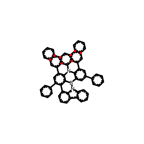 c1ccc(-c2cc(-c3ccccc3)cc(N3c4c(cc(-c5ccccc5)cc4-c4ccccc4)B4c5c(c(-c6ccccc6)cc(-c6ccccc6)c53)-c3cccc5c6ccccc6n4c35)c2)cc1